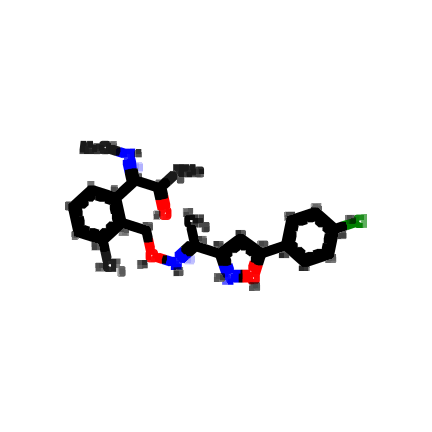 CNC(=O)/C(=N/OC)c1cccc(C(F)(F)F)c1CO/N=C(\C)c1cc(-c2ccc(Cl)cc2)on1